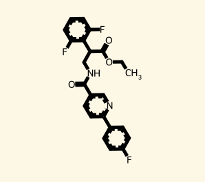 CCOC(=O)C(CNC(=O)c1ccc(-c2ccc(F)cc2)nc1)c1c(F)cccc1F